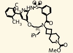 COC(=O)N1CCC2(CC1)CC(N1C(=O)c3cccc(c3)S(=O)(=O)Nc3cc(cc(-c4c(C)cccc4C)n3)OC[C@H]1CC(C)C)C2